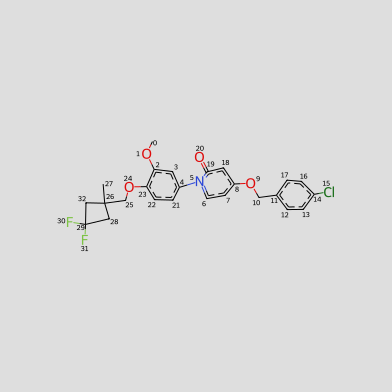 COc1cc(-n2ccc(OCc3ccc(Cl)cc3)cc2=O)ccc1OCC1(C)CC(F)(F)C1